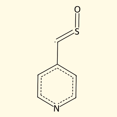 O=S=[C]c1ccncc1